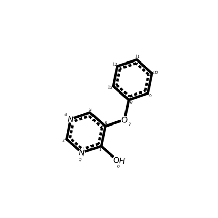 Oc1ncncc1Oc1ccccc1